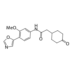 COc1cc(NC(=O)CC2CCC(=O)CC2)ccc1-c1cnco1